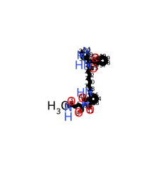 CNC(=O)CCC(C=O)N1C(=O)c2cccc(NCCCCCCC(=O)NC(c3cncnc3)c3cc4ccccc4o3)c2C1=O